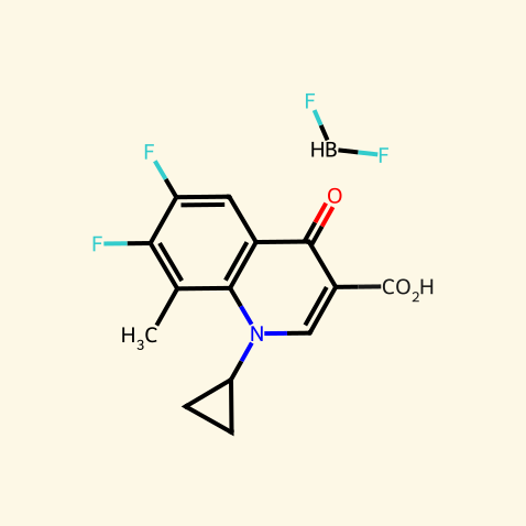 Cc1c(F)c(F)cc2c(=O)c(C(=O)O)cn(C3CC3)c12.FBF